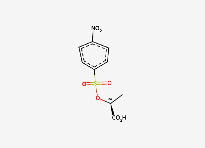 C[C@H](OS(=O)(=O)c1ccc([N+](=O)[O-])cc1)C(=O)O